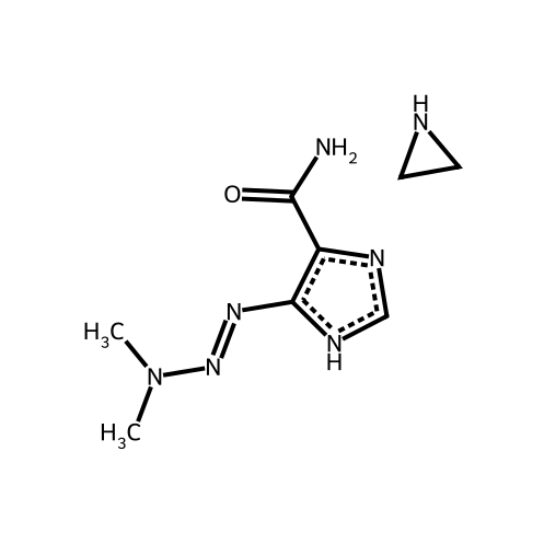 C1CN1.CN(C)N=Nc1[nH]cnc1C(N)=O